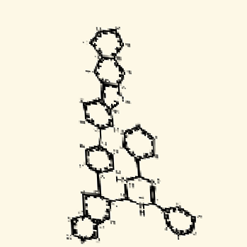 c1ccc(C2=NC(c3ccccc3)NC(c3cc4ccccc4cc3-c3ccc(-c4ccc5c(c4)oc4cc6ccccc6cc45)cc3)N2)cc1